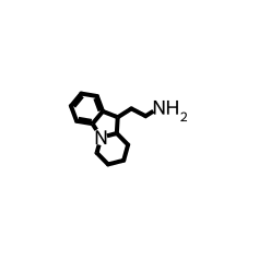 NCCC1c2ccccc2N2CCCCC12